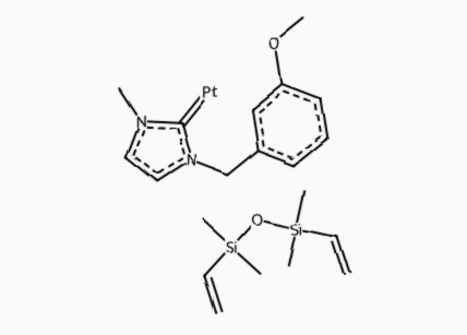 C=C[Si](C)(C)O[Si](C)(C)C=C.COc1cccc(Cn2ccn(C)[c]2=[Pt])c1